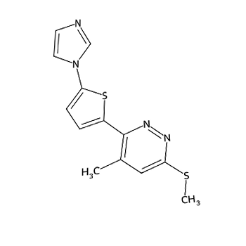 CSc1cc(C)c(-c2ccc(-n3ccnc3)s2)nn1